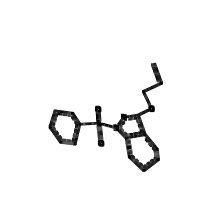 C=CCOc1nn(S(=O)(=O)c2ccccc2)c2ccccc12